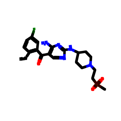 COc1ccc(F)cc1C(=O)c1cnc(NC2CCN(CCS(C)(=O)=O)CC2)nc1N